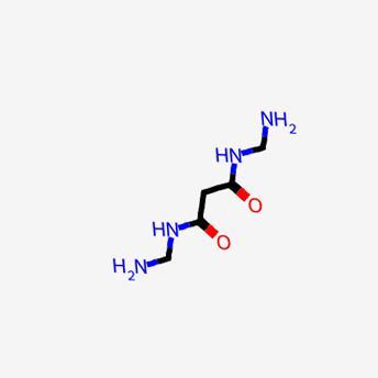 NCNC(=O)CC(=O)NCN